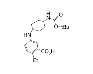 CCc1ccc(NC2CCC(NC(=O)OC(C)(C)C)CC2)cc1C(=O)O